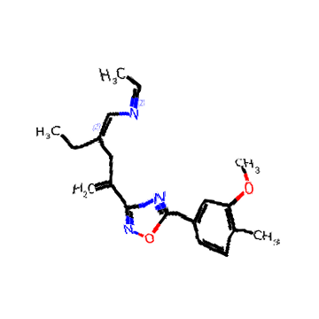 C=C(C/C(=C\N=C/C)CC)c1noc(-c2ccc(C)c(OC)c2)n1